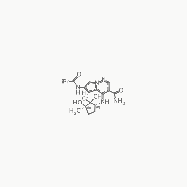 CC(C)C(=O)Nc1cc2c(N[C@@H]3CC[C@@](C)(O)C3(C)C)c(C(N)=O)cnn2c1